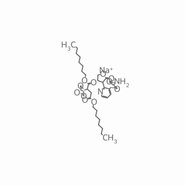 CCCCCCCCOC(=O)CC(C(=O)OCCCCCCCC)S(=O)(=O)[O-].NS(=O)(=O)c1cccnc1C1CCOC1=O.[Na+]